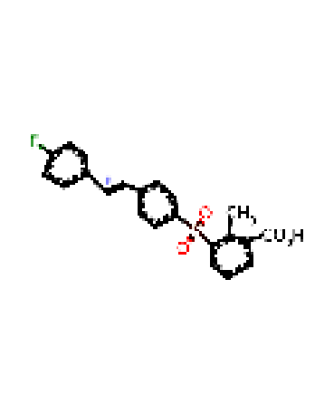 Cc1c(C(=O)O)cccc1S(=O)(=O)c1ccc(/C=C/c2ccc(F)cc2)cc1